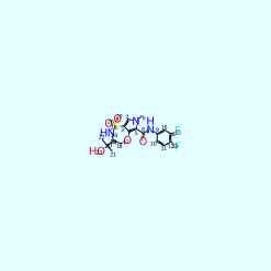 Cn1cc2c(c1C(=O)Nc1ccc(F)c(F)c1)OC[C@@H](C(C)(C)O)NS2(=O)=O